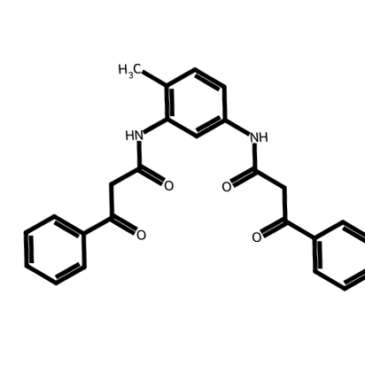 Cc1ccc(NC(=O)CC(=O)c2ccccc2)cc1NC(=O)CC(=O)c1ccccc1